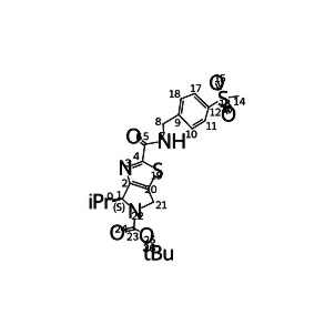 CC(C)[C@H]1c2nc(C(=O)NCc3ccc(S(C)(=O)=O)cc3)sc2CN1C(=O)OC(C)(C)C